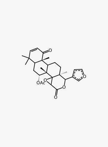 CC(=O)O[C@@H]1CC2C(C)(C)C=CC(=O)[C@]2(C)C2CC[C@@]3(C)C(c4ccoc4)OC(=O)C4OC43[C@@]21C